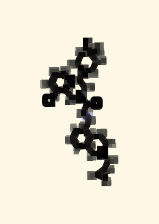 O=C(/C=C/c1cccc2c1CCN(CC1CC1)C2)N(CCN1CCC(F)(F)CC1)Cc1ncccc1Cl